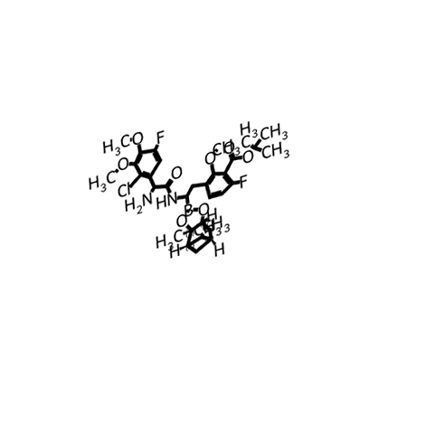 COc1c(F)cc(C(N)C(=O)NC(Cc2ccc(F)c(C(=O)OC(C)(C)C)c2OC)B2O[C@@H]3C[C@@H]4C[C@@H](C4(C)C)[C@]3(C)O2)c(Cl)c1OC